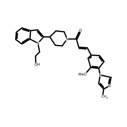 COc1cc(/C=C/C(=O)N2CCC(c3cc4ccccc4n3CCO)CC2)ccc1-n1cnc(C)c1